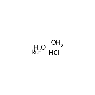 Cl.O.O.[Ru]